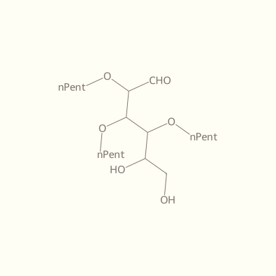 CCCCCOC(C=O)C(OCCCCC)C(OCCCCC)C(O)CO